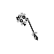 COc1cc(N2CCN(CCCCCCCCCCCCNC(=O)CC3(C)CC4CC(C)CP(C4)C3)CC2)ccc1Nc1ncc2c(C)cc(=O)n([C@H]3CC[C@@H](NC(=O)C4CC4)CC3)c2n1